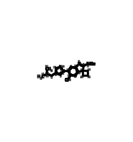 CNC1=Nc2cc(-n3cc(CN(C)C)cn3)c(Cl)cc2C12CCC2